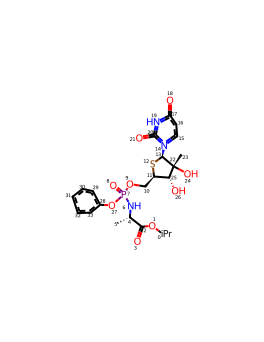 CC(C)OC(=O)[C@H](C)NP(=O)(OC[C@H]1S[C@@H](n2ccc(=O)[nH]c2=O)[C@](C)(O)[C@@H]1O)Oc1ccccc1